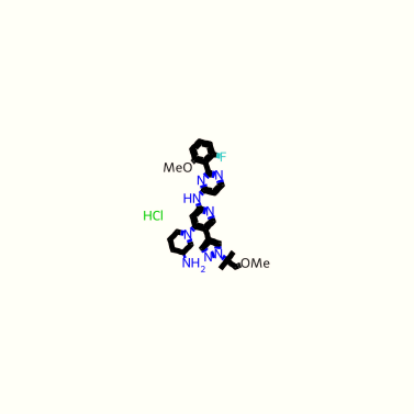 COCC(C)(C)n1cc(-c2cnc(Nc3ccnc(-c4c(F)cccc4OC)n3)cc2N2CCC[C@H](N)C2)cn1.Cl